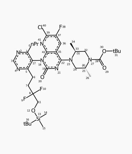 CCCc1ncnc(CCC(F)(F)CO[Si](C)(C)C(C)(C)C)c1-n1c(=O)nc(N2C[C@@H](C)N(C(=O)OC(C)(C)C)C[C@@H]2C)c2cc(F)c(Cl)nc21